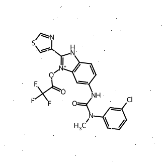 CN(C(=O)Nc1ccc2[nH]c(-c3cscn3)[n+](OC(=O)C(F)(F)F)c2c1)c1cccc(Cl)c1